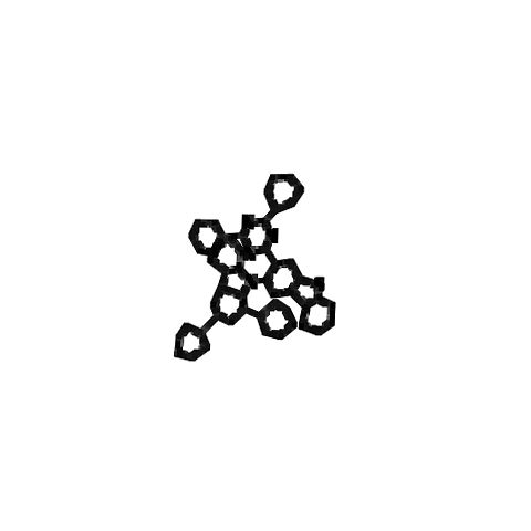 c1ccc(-c2cc(-c3ccccc3)c3c(c2)c2ccccc2n3-c2cc3c(cc2-c2nc(-c4ccccc4)nc(-c4ccccc4)n2)sc2ccccc23)cc1